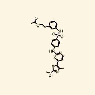 CNc1nc(C)c(-c2ccnc(Nc3ccc(S(=O)(=O)Nc4cccc(CCOC(C)=O)c4)cc3)n2)s1